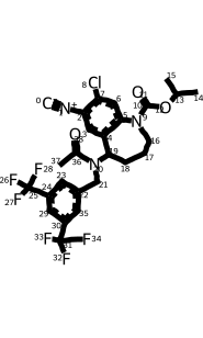 [C-]#[N+]c1cc2c(cc1Cl)N(C(=O)OC(C)C)CCCC2N(Cc1cc(C(F)(F)F)cc(C(F)(F)F)c1)C(C)=O